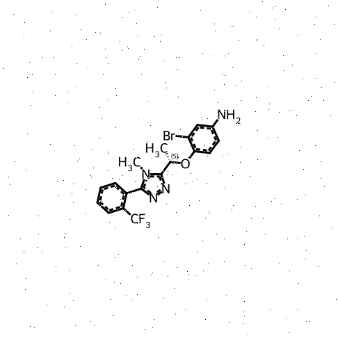 C[C@H](Oc1ccc(N)cc1Br)c1nnc(-c2ccccc2C(F)(F)F)n1C